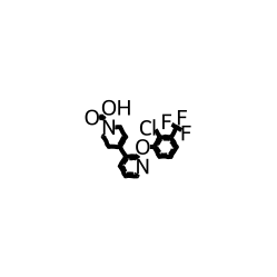 O=C(O)N1CC=C(c2cccnc2Oc2cccc(C(F)(F)F)c2Cl)CC1